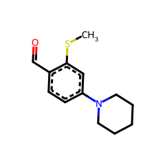 CSc1cc(N2CCCCC2)ccc1C=O